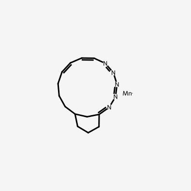 C1=CCCCC2CCCC(=NN=NN=NC=C1)C2.[Mn]